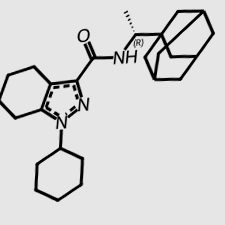 C[C@@H](NC(=O)c1nn(C2CCCCC2)c2c1CCCC2)C12CC3CC(CC(C3)C1)C2